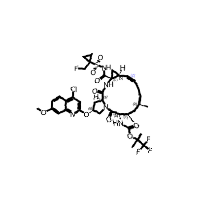 COc1ccc2c(Cl)cc(O[C@@H]3C[C@H]4C(=O)N[C@]5(C(=O)NS(=O)(=O)C6(CF)CC6)C[C@H]5/C=C\CC[C@@H](C)C[C@@H](C)[C@H](NC(=O)OC(C)(C)C(F)(F)F)C(=O)N4C3)nc2c1